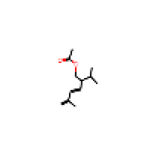 C=C(C)C=CC(COC(C)=O)C(C)C